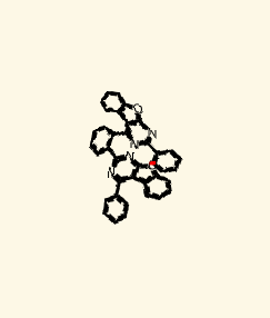 c1ccc(-c2nc(-c3ccccc3-c3nc(-c4ccccc4)c4c(n3)oc3ccccc34)c3c(n2)oc2ccccc23)cc1